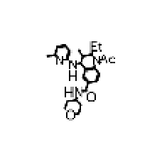 CCC1C(C)C(Nc2cccc(C)n2)c2cc(C(=O)NC3CCOCC3)ccc2N1C(C)=O